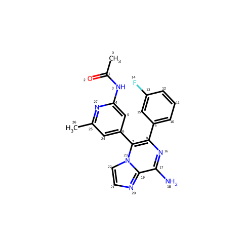 CC(=O)Nc1cc(-c2c(-c3cccc(F)c3)nc(N)c3nccn23)cc(C)n1